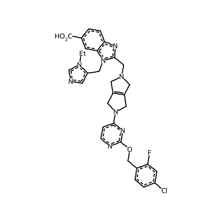 CCn1cncc1Cn1c(CN2CC3=C(C2)CN(c2ccnc(OCc4ccc(Cl)cc4F)n2)C3)nc2ccc(C(=O)O)cc21